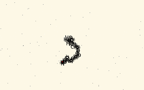 O=C(NC(c1ccccc1)c1cccc(OCc2ccc(C(=O)OCCOc3ccc(CNCC(O)c4ccc(O)c5[nH]c(=O)ccc45)c(Cl)c3)cc2)c1)O[C@H]1CN2CCC1CC2